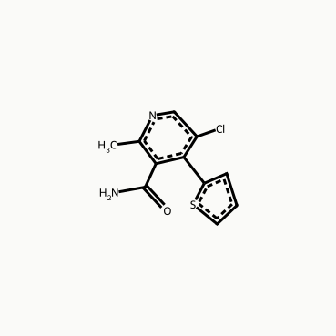 Cc1ncc(Cl)c(-c2cccs2)c1C(N)=O